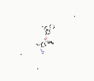 CCc1cc(C(C)=NOCc2ccc(C3CCCCC3)c(C(F)(F)F)c2)ccc1CN1CCC1